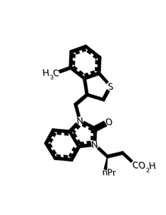 CCC[C@H](CC(=O)O)n1c(=O)n(CC2CSc3cccc(C)c32)c2ccccc21